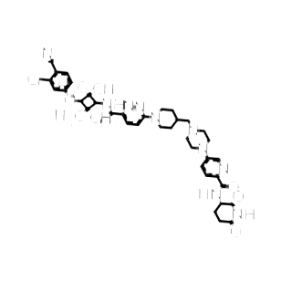 CC1(C)C(NC(=O)c2ccc(N3CCC(CN4CCN(c5ccc(C(=O)N[C@@H]6CCC(=O)NC6=O)nc5)CC4)CC3)nn2)C(C)(C)C1Oc1ccc(C#N)c(Cl)c1